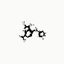 Cc1[nH]c2c(C(N)=O)ccc(N[C@H]3CCNC3)c2c1C